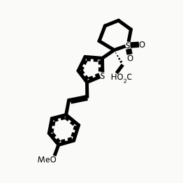 COc1ccc(/C=C/c2ccc([C@@]3(CC(=O)O)CCCCS3(=O)=O)s2)cc1